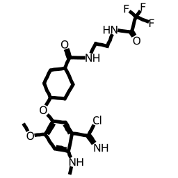 CNc1cc(OC)c(OC2CCC(C(=O)NCCNC(=O)C(F)(F)F)CC2)cc1C(=N)Cl